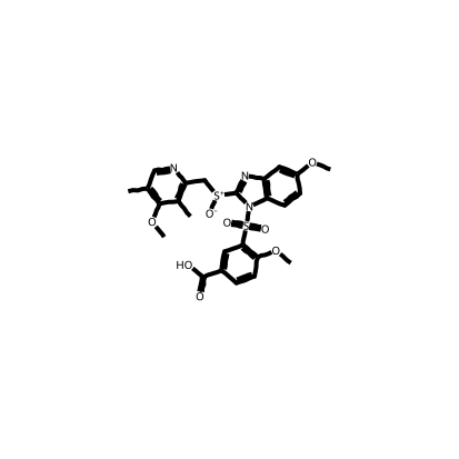 COc1ccc2c(c1)nc([S+]([O-])Cc1ncc(C)c(OC)c1C)n2S(=O)(=O)c1cc(C(=O)O)ccc1OC